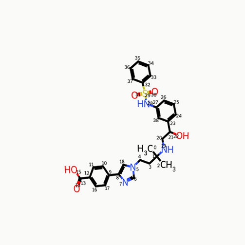 CC(C)(CCn1cnc(-c2ccc(C(=O)O)cc2)c1)NCC(O)c1cccc(NS(=O)(=O)c2ccccc2)c1